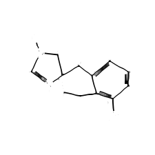 CN1C=N[C@@]2(CCc3c(Br)cccc3C2)C1